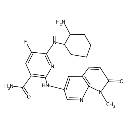 Cn1c(=O)ccc2cc(Nc3nc(NC4CCCCC4N)c(F)cc3C(N)=O)cnc21